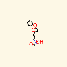 CC(=O)N(O)C/C=C/c1ccc(Oc2ccccc2)o1